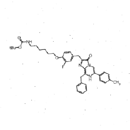 Cc1ccc(-c2cn3c(=O)c(Cc4ccc(OCCCCCCNC(=O)OC(C)(C)C)c(F)c4)nc-3c(Cc3ccccc3)[nH]2)cc1